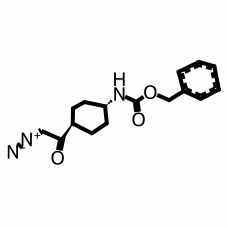 [N-]=[N+]=CC(=O)[C@H]1CC[C@H](NC(=O)OCc2ccccc2)CC1